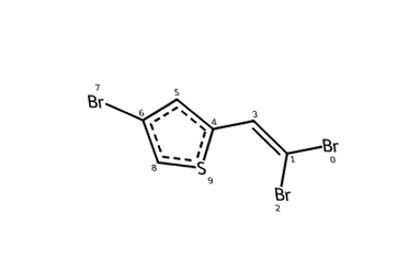 BrC(Br)=Cc1cc(Br)cs1